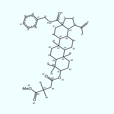 C=C(C)C1CCC2(C(=O)OCc3ccccc3)CCC3C(CCC4C3(C)CCC3C(C)(C)C(OC(=O)CC(C)(C)C(=O)OC)CCC34C)C12